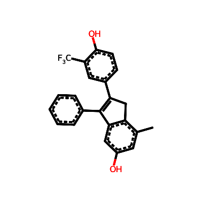 Cc1cc(O)cc2c1CC(c1ccc(O)c(C(F)(F)F)c1)=C2c1ccccc1